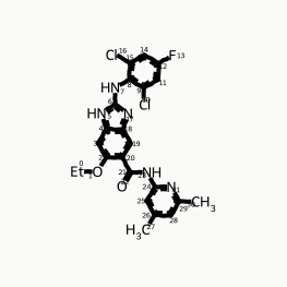 CCOc1cc2[nH]c(Nc3c(Cl)cc(F)cc3Cl)nc2cc1C(=O)Nc1cc(C)cc(C)n1